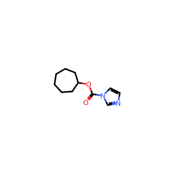 O=C(OC1CCCCCC1)n1ccnc1